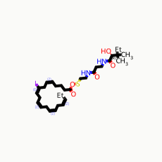 CC/C=C\C/C=C\C/C=C\C/C=C(/I)C/C=C\CCCC(=O)OSCCNC(=O)CCNC(=O)[C@H](O)C(C)(C)CC